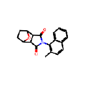 Cc1ccc2ccccc2c1N1C(=O)C2C3CCC(O3)C2C1=O